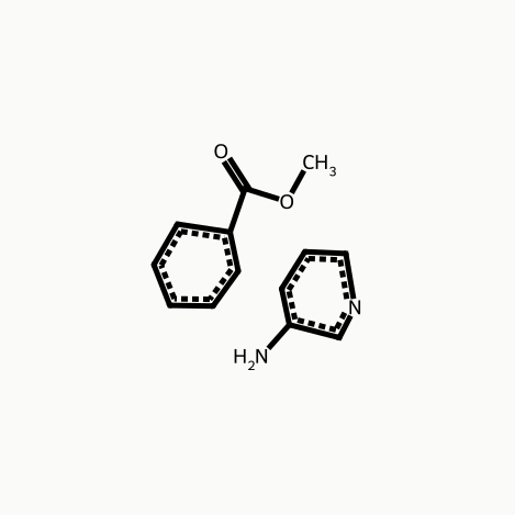 COC(=O)c1ccccc1.Nc1cccnc1